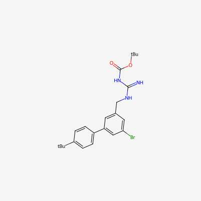 CC(C)(C)OC(=O)NC(=N)NCc1cc(Br)cc(-c2ccc(C(C)(C)C)cc2)c1